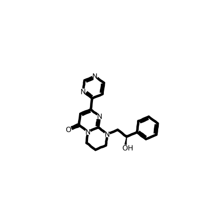 O=c1cc(-c2ccncn2)nc2n1CCCN2C[C@H](O)c1ccccc1